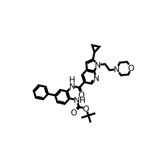 CC(C)(C)OC(=O)Nc1ccc(-c2ccccc2)cc1NC(=O)c1cnc2c(c1)cc(C1CC1)n2CCN1CCOCC1